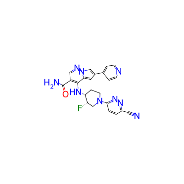 N#Cc1ccc(N2CC[C@@H](Nc3c(C(N)=O)cnn4cc(-c5ccncc5)cc34)[C@@H](F)C2)nn1